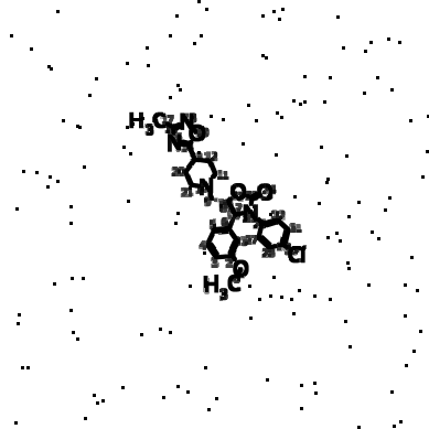 COc1cccc([C@H]2[C@H](CN3CCC(c4nc(C)no4)CC3)OC(=O)N2c2ccc(Cl)cc2)c1